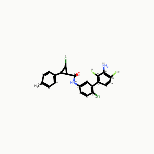 Cc1ccc(C2C(Cl)C2C(=O)Nc2ccc(Cl)c(-c3ccc(F)c(N)c3F)c2)cc1